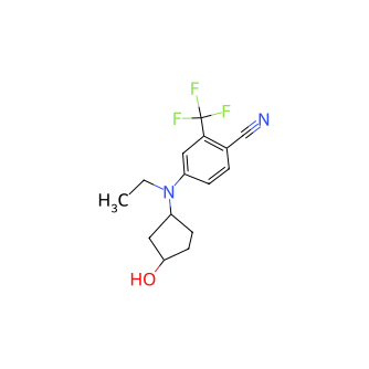 CCN(c1ccc(C#N)c(C(F)(F)F)c1)C1CCC(O)C1